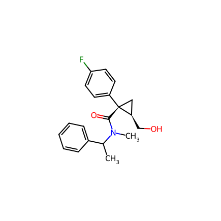 CC(c1ccccc1)N(C)C(=O)[C@@]1(c2ccc(F)cc2)C[C@H]1CO